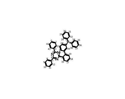 c1ccc(-c2nc(-c3ccccc3)nc(-c3ccccc3-c3cccc(P(c4ccccc4)c4ccccc4)c3)n2)cc1